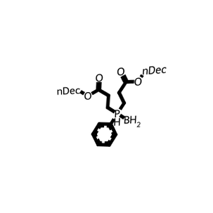 B[PH](CCC(=O)OCCCCCCCCCC)(CCC(=O)OCCCCCCCCCC)c1ccccc1